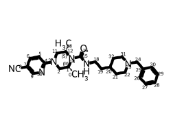 C[C@@H]1CN(c2ccc(C#N)cn2)C[C@H](C)N1C(=O)NCCC1CCN(Cc2ccccc2)CC1